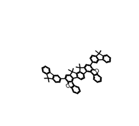 CC1(C)c2ccccc2-c2cc(-c3cc4c(c5c3oc3ccccc35)-c3ccc5c(c3C4(C)C)C(C)(C)c3cc(-c4ccc6c(c4)-c4ccccc4C6(C)C)c4oc6ccccc6c4c3-5)ccc21